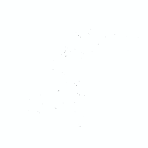 C=CC(=O)Nc1ccc2c(N3CC[C@@H](Nc4ncc(C#C[Si](C)(C)C)nn4)C3)nnc(N3CCC3)c2c1